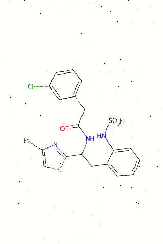 CCc1csc(C(Cc2ccccc2NS(=O)(=O)O)NC(=O)Cc2cccc(Cl)c2)n1